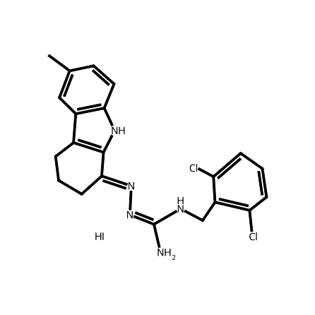 Cc1ccc2[nH]c3c(c2c1)CCCC3=NN=C(N)NCc1c(Cl)cccc1Cl.I